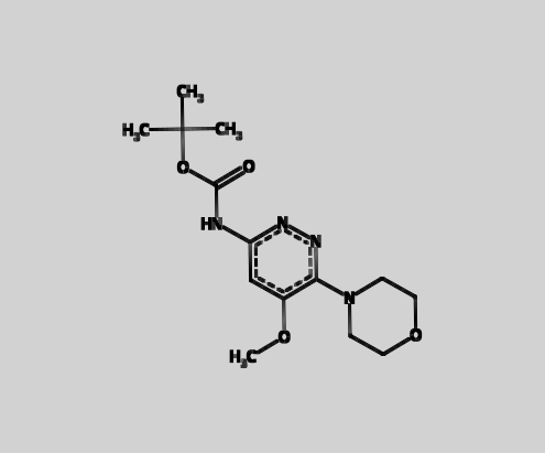 COc1cc(NC(=O)OC(C)(C)C)nnc1N1CCOCC1